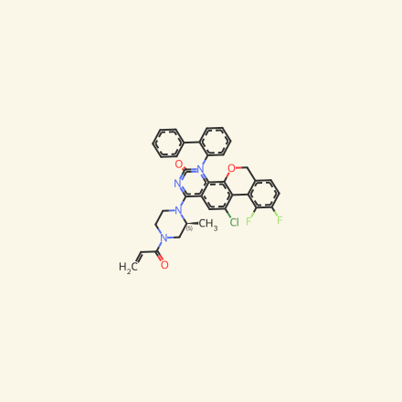 C=CC(=O)N1CCN(c2nc(=O)n(-c3ccccc3-c3ccccc3)c3c4c(c(Cl)cc23)-c2c(ccc(F)c2F)CO4)[C@@H](C)C1